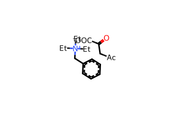 CC(=O)CC(=O)C(=O)[O-].CC[N+](CC)(CC)Cc1ccccc1